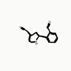 N#CC1CNC(c2ccccc2C=O)C1